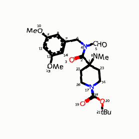 CNC1(C(=O)N(C=O)Cc2cc(OC)cc(OC)c2)CCN(C(=O)OC(C)(C)C)CC1